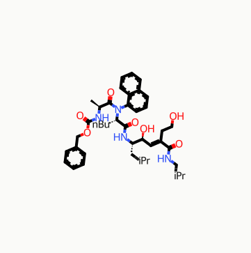 CCCC[C@@H](C(=O)N[C@@H](CC(C)C)[C@@H](O)/C=C(\CCO)C(=O)NCC(C)C)N(C(=O)[C@H](C)NC(=O)OCc1ccccc1)c1cccc2ccccc12